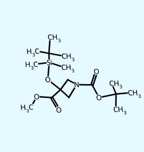 COC(=O)C1(O[Si](C)(C)C(C)(C)C)CN(C(=O)OC(C)(C)C)C1